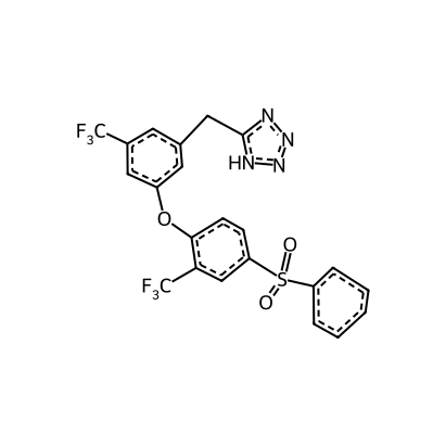 O=S(=O)(c1ccccc1)c1ccc(Oc2cc(Cc3nnn[nH]3)cc(C(F)(F)F)c2)c(C(F)(F)F)c1